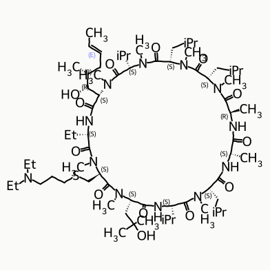 C/C=C/C[C@@H](C)[C@@H](O)[C@H]1C(=O)N[C@@H](CC)C(=O)N(C)[C@H](CSCCCN(CC)CC)C(=O)N(C)[C@@H](CC(C)(C)O)C(=O)N[C@@H](C(C)C)C(=O)N(C)[C@@H](CC(C)C)C(=O)N[C@@H](C)C(=O)N[C@H](C)C(=O)N(C)[C@@H](CC(C)C)C(=O)N(C)[C@@H](CC(C)C)C(=O)N(C)[C@@H](C(C)C)C(=O)N1C